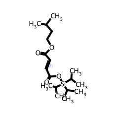 CC(C)CCOC(=O)/C=C/C(=O)O[Si](C(C)C)(C(C)C)C(C)C